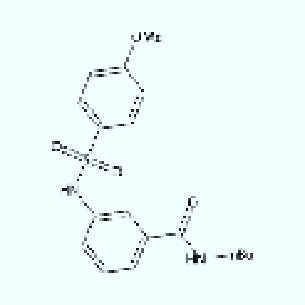 CCCCNC(=O)c1cccc(NS(=O)(=O)c2ccc(OC)cc2)c1